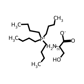 CCCC[P+](CCCC)(CCCC)CCCC.N[C@@H](CO)C(=O)[O-]